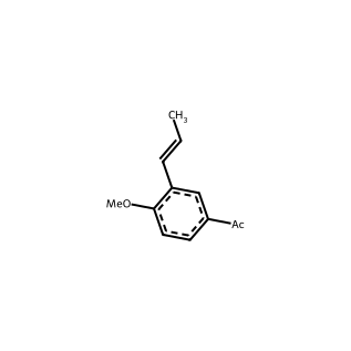 CC=Cc1cc(C(C)=O)ccc1OC